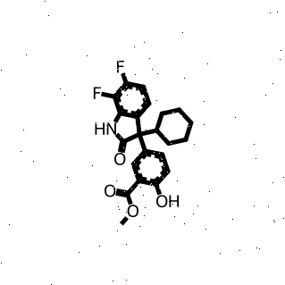 COC(=O)c1cc(C2(C3CCCCC3)C(=O)Nc3c2ccc(F)c3F)ccc1O